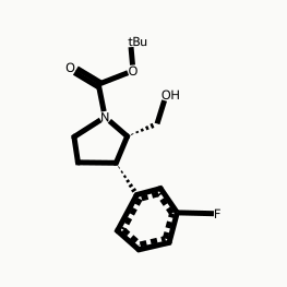 CC(C)(C)OC(=O)N1CC[C@@H](c2cccc(F)c2)[C@H]1CO